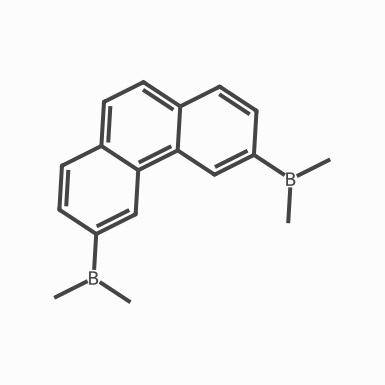 CB(C)c1ccc2ccc3ccc(B(C)C)cc3c2c1